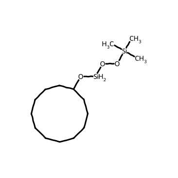 C[Si](C)(C)OO[SiH2]OC1CCCCCCCCCCC1